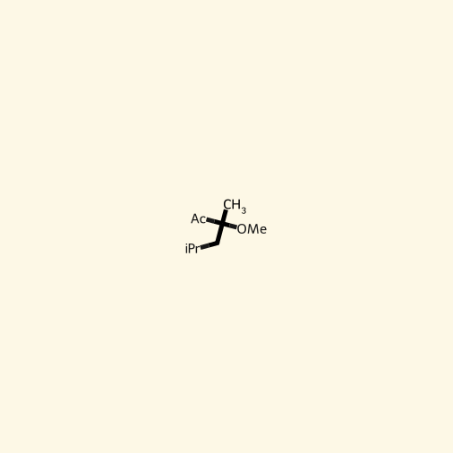 COC(C)(CC(C)C)C(C)=O